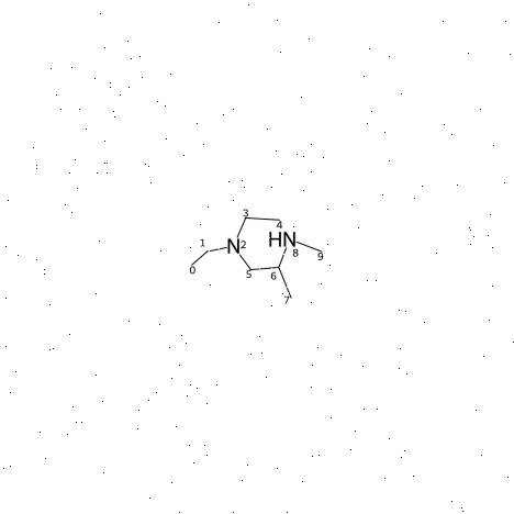 CCN(CC)CC(C)NC